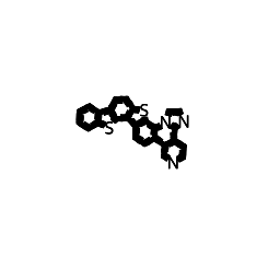 c1ccc2c(c1)sc1c2ccc2sc3c(ccc4c5cnccc5c5nccn5c43)c21